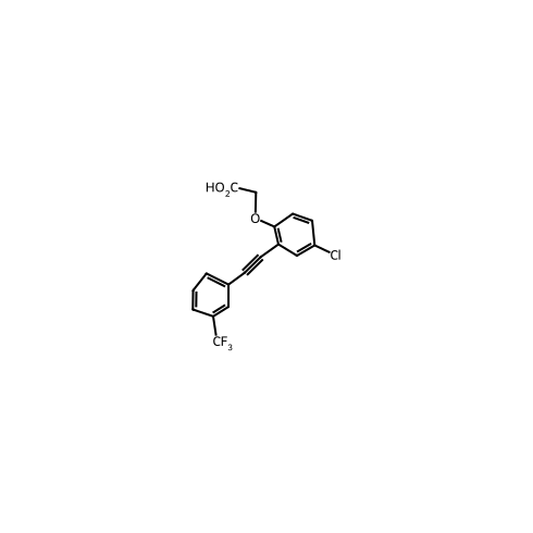 O=C(O)COc1ccc(Cl)cc1C#Cc1cccc(C(F)(F)F)c1